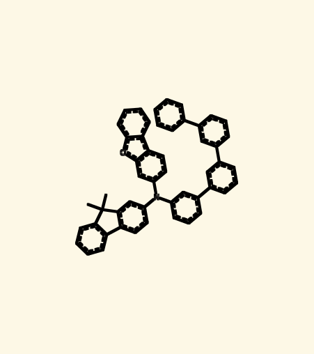 CC1(C)c2ccccc2-c2ccc(N(c3cccc(-c4cccc(-c5cccc(-c6ccccc6)c5)c4)c3)c3ccc4c(c3)oc3ccccc34)cc21